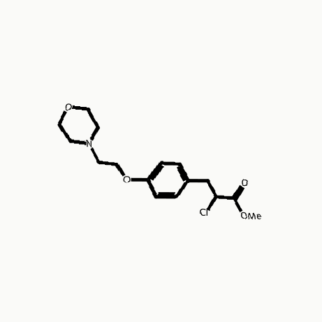 COC(=O)C(Cl)Cc1ccc(OCCN2CCOCC2)cc1